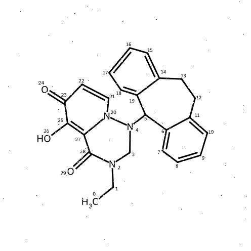 CCN1CN(C2c3ccccc3CCc3ccccc32)n2ccc(=O)c(O)c2C1=O